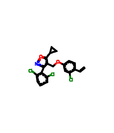 C=Cc1ccc(OCc2c(-c3c(Cl)cccc3Cl)noc2C2CC2)cc1Cl